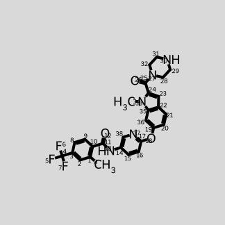 Cc1cc(C(F)(F)F)ccc1C(=O)Nc1ccc(Oc2ccc3cc(C(=O)N4CCNCC4)n(C)c3c2)nc1